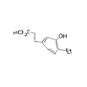 CCc1ccc(C=CC(=O)O)cc1O